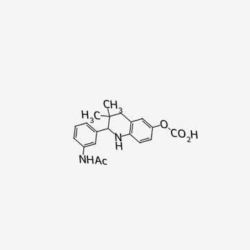 CC(=O)Nc1cccc(C2Nc3ccc(OC(=O)O)cc3CC2(C)C)c1